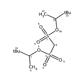 CC(OS(=O)(=O)CS(=O)(=O)OC(C)C(C)(C)C)C(C)(C)C